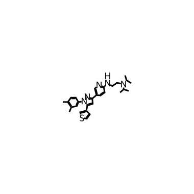 Cc1ccc(-n2nc(-c3ccc(NCCN(C(C)C)C(C)C)nc3)cc2-c2ccsc2)cc1C